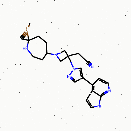 C[SH]1#CC12CCC(N1CC(CC#N)(n3cc(-c4ccnc5[nH]ccc45)cn3)C1)CCN2